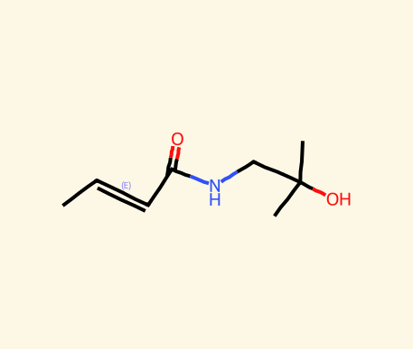 C/C=C/C(=O)NCC(C)(C)O